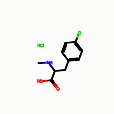 CNC(Cc1ccc(Cl)cc1)C(=O)O.Cl